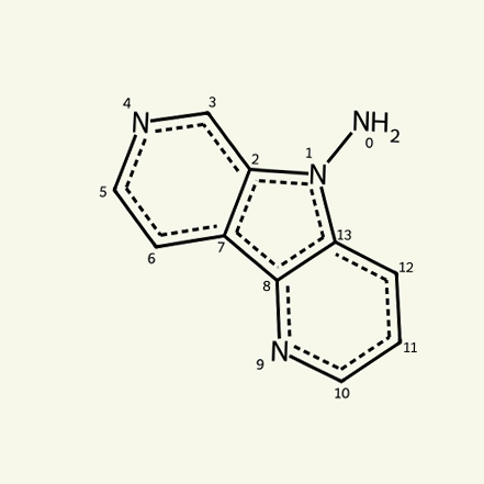 Nn1c2cnccc2c2ncccc21